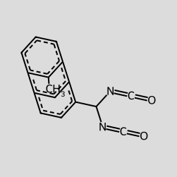 Cc1c2cccc1c1cc2ccc1C(N=C=O)N=C=O